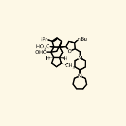 CCCCC1CC(C23C[C@@H]4[C@H](C)CC[C@H]4C4(C=O)CC2C=C(C(C)C)C34C(=O)O)OC1CN1CCC(N2CCCCCC2)CC1